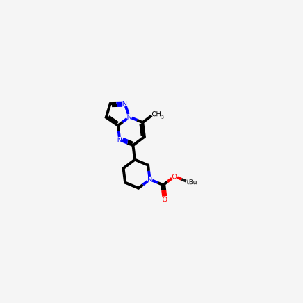 Cc1cc(C2CCCN(C(=O)OC(C)(C)C)C2)nc2ccnn12